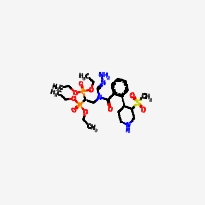 CCOP(=O)(OCC)C(CN(C=NN)C(=O)c1ccccc1C1CCNCC1S(C)(=O)=O)P(=O)(OCC)OCC